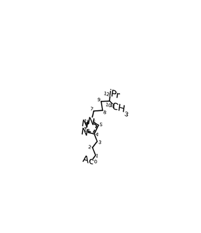 CC(=O)CCCc1cn(CCCC(C)C(C)C)nn1